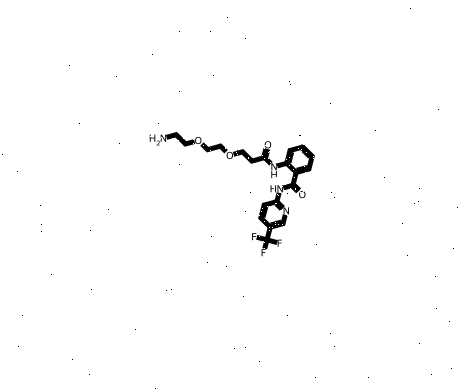 NCCOCCOCCC(=O)Nc1ccccc1C(=O)Nc1ccc(C(F)(F)F)cn1